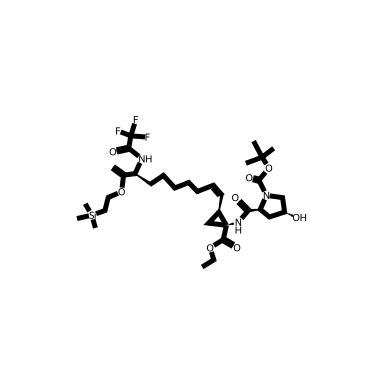 C=C(OCC[Si](C)(C)C)[C@H](CCCCC/C=C\[C@@H]1C[C@]1(NC(=O)[C@@H]1C[C@@H](O)CN1C(=O)OC(C)(C)C)C(=O)OCC)NC(=O)C(F)(F)F